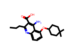 CCCc1nc2cccc(OC3CCC(C)(C)CC3)c2c(N)c1C(=O)O